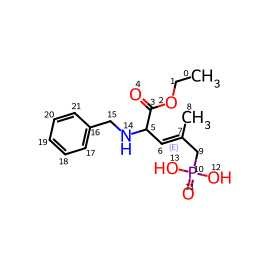 CCOC(=O)C(/C=C(\C)CP(=O)(O)O)NCc1ccccc1